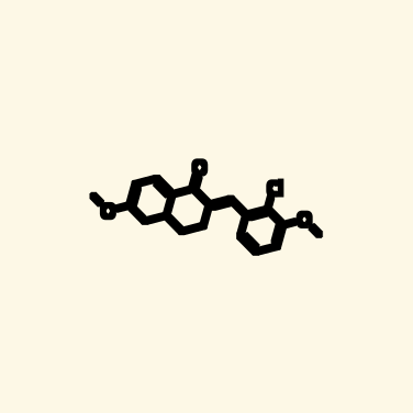 COC1=CC=C2C(=O)C(=Cc3cccc(OC)c3Cl)CCC2C1